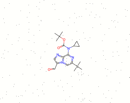 CC(C)(C)OC(=O)N(c1nc([Si](C)(C)C)cn2c(C=O)cnc12)C1CC1